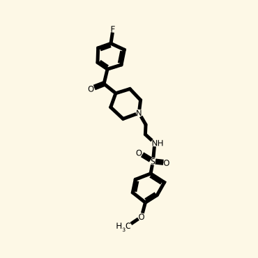 COc1ccc(S(=O)(=O)NCCN2CCC(C(=O)c3ccc(F)cc3)CC2)cc1